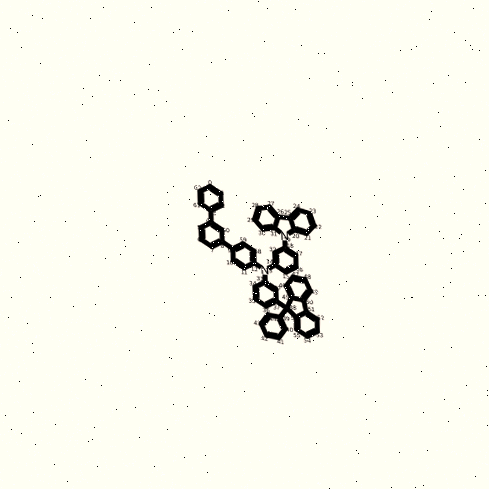 c1ccc(-c2cccc(-c3ccc(N(c4cccc(-n5c6ccccc6c6ccccc65)c4)c4cccc(C5(c6ccccc6)c6ccccc6-c6ccccc65)c4)cc3)c2)cc1